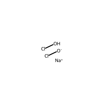 OCl.[Na+].[O-]Cl